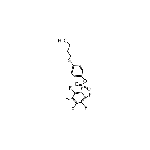 CCCCSc1ccc(OS(=O)(=O)c2c(F)c(F)c(F)c(F)c2F)cc1